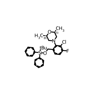 C[C@@H]1CN(c2c(CO[Si](c3ccccc3)(c3ccccc3)C(C)(C)C)ccc(F)c2Cl)C[C@H](C)O1